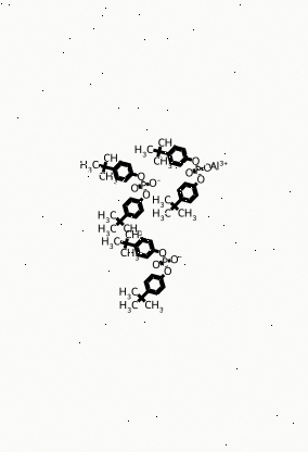 CC(C)(C)c1ccc(OP(=O)([O-])Oc2ccc(C(C)(C)C)cc2)cc1.CC(C)(C)c1ccc(OP(=O)([O-])Oc2ccc(C(C)(C)C)cc2)cc1.CC(C)(C)c1ccc(OP(=O)([O-])Oc2ccc(C(C)(C)C)cc2)cc1.[Al+3]